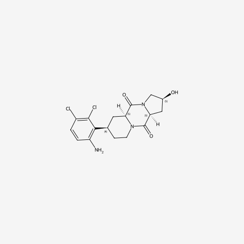 Nc1ccc(Cl)c(Cl)c1[C@@H]1CCN2C(=O)[C@@H]3C[C@H](O)CN3C(=O)[C@@H]2C1